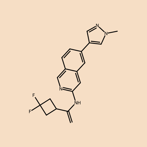 C=C(Nc1cc2cc(-c3cnn(C)c3)ccc2cn1)C1CC(F)(F)C1